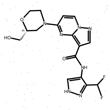 O=C(Nc1c[nH]nc1C(F)F)c1cnn2ccc(N3CCO[C@@H](CO)C3)nc12